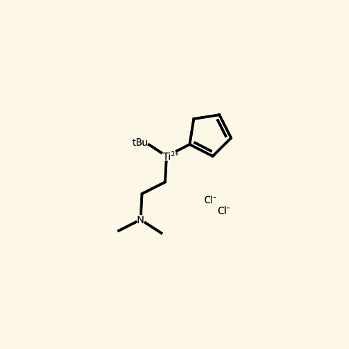 CN(C)C[CH2][Ti+2]([C]1=CC=CC1)[C](C)(C)C.[Cl-].[Cl-]